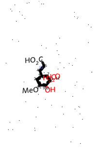 COc1cc(/C=C/C(=O)O)ccc1O.O.O